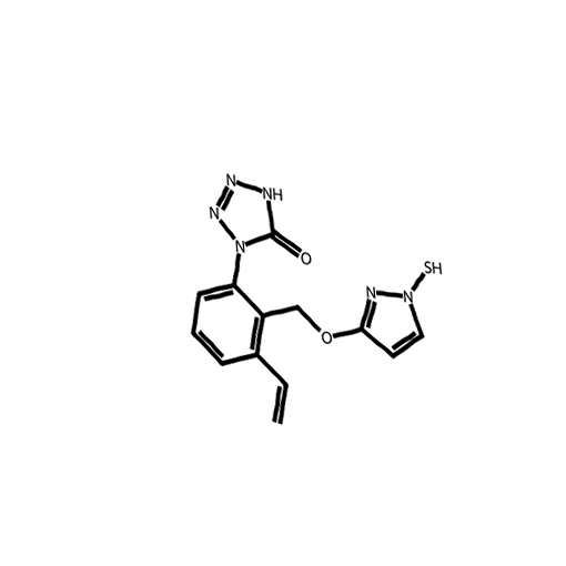 C=Cc1cccc(-n2nn[nH]c2=O)c1COc1ccn(S)n1